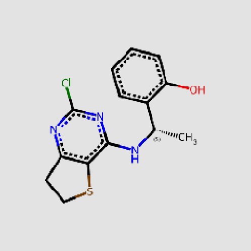 C[C@H](Nc1nc(Cl)nc2c1SCC2)c1ccccc1O